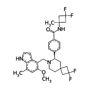 COc1cc(C)c2[nH]ccc2c1CN1CCC2(C[C@@H]1c1ccc(C(=O)NC3(C)CC(F)(F)C3)cc1)CC(F)(F)C2